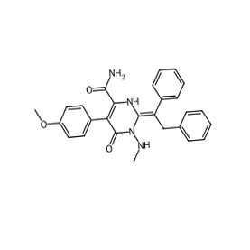 CNN1C(=O)C(c2ccc(OC)cc2)=C(C(N)=O)N/C1=C(/Cc1ccccc1)c1ccccc1